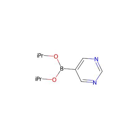 CC(C)OB(OC(C)C)c1cncnc1